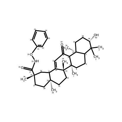 CC1(C)C2CC[C@]3(C)C(C(=O)C=C4C5C[C@@](C)(C(=O)NOc6ccccc6)CC[C@]5(C)CC[C@]43C)[C@@]2(C)CC[C@@H]1O